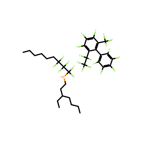 CCCCCCC(F)(F)C(F)(F)C(F)(F)PCCC(CC)CCCC.Fc1c(F)c(F)c(-c2c(C(F)(F)F)c(F)c(F)c(F)c2C(F)(F)C(F)(F)F)c(F)c1F